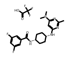 Cc1nc(N[C@H]2CC[C@@H](NC(=O)c3cc(F)cc(F)c3)CC2)cc(N(C)C)n1.O=C(O)C(F)(F)F